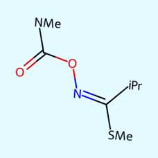 CNC(=O)ON=C(SC)C(C)C